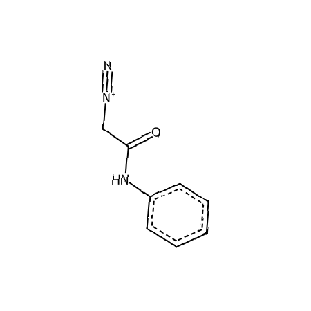 N#[N+]CC(=O)Nc1ccccc1